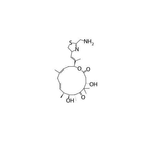 C/C1=C/C[C@@H](/C(C)=C/C2CSC(CN)=N2)OC(=O)C[C@H](O)C(C)(C)C(=O)[C@H](C)[C@@H](O)[C@@H](C)/C=C/C1